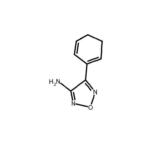 Nc1nonc1C1=CCCC=C1